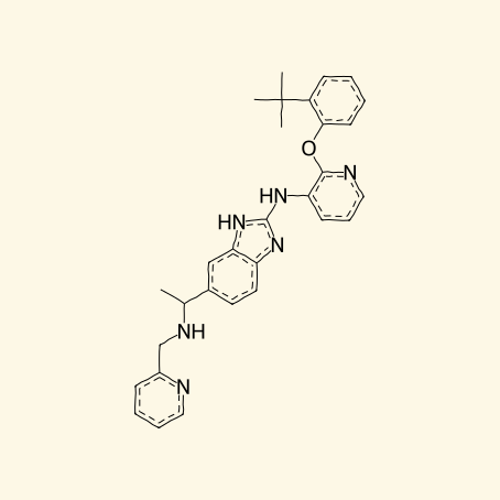 CC(NCc1ccccn1)c1ccc2nc(Nc3cccnc3Oc3ccccc3C(C)(C)C)[nH]c2c1